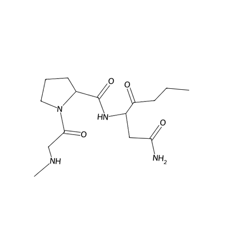 CCCC(=O)C(CC(N)=O)NC(=O)C1CCCN1C(=O)CNC